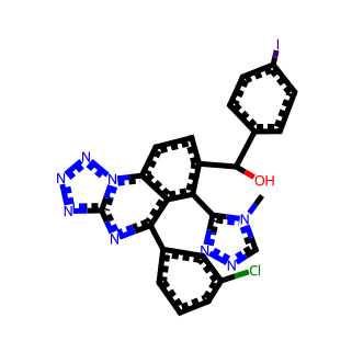 Cn1cnnc1-c1c(C(O)c2ccc(I)cc2)ccc2c1c(-c1cccc(Cl)c1)nc1nnnn12